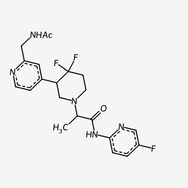 CC(=O)NCc1cc(C2CN(C(C)C(=O)Nc3ccc(F)cn3)CCC2(F)F)ccn1